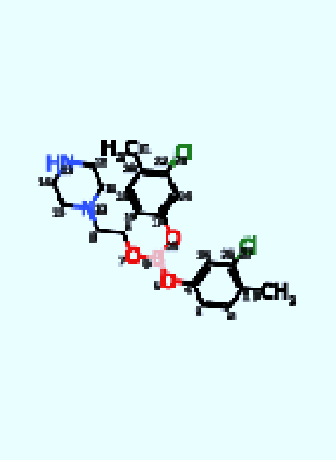 Cc1ccc(OB(OCCN2CCNCC2)Oc2ccc(C)c(Cl)c2)cc1Cl